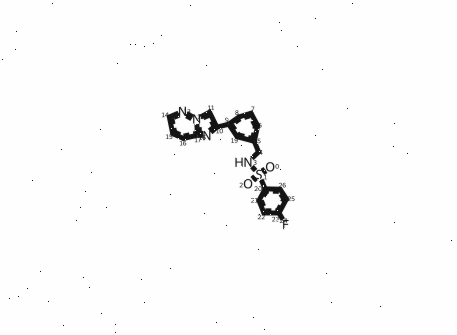 O=S(=O)(NCc1cccc(-c2cn3ncccc3n2)c1)c1ccc(F)cc1